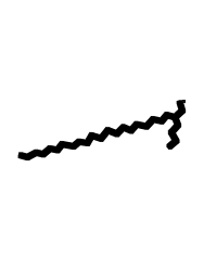 [CH2]CC(CCCC)CCCCCCCCCCCCCCCCCCCCC